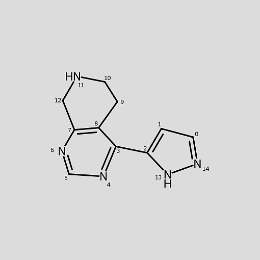 c1cc(-c2ncnc3c2CCNC3)[nH]n1